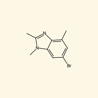 Cc1cc(Br)cc2c1nc(C)n2C